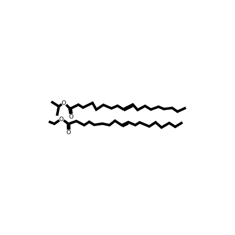 CCCCCCCCC=CCCCCCCCC(=O)OC(C)C.CCCCCCCCC=CCCCCCCCC(=O)OCC